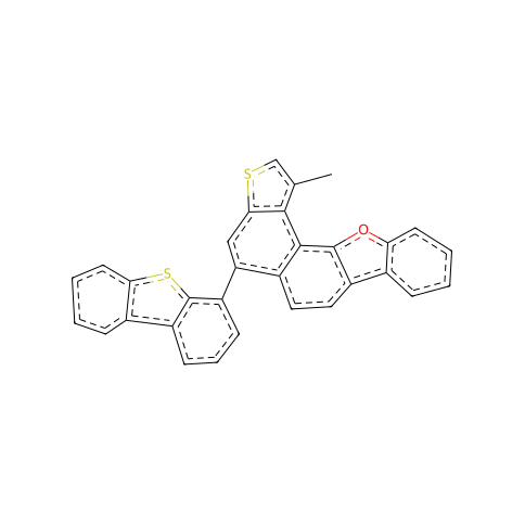 Cc1csc2cc(-c3cccc4c3sc3ccccc34)c3ccc4c5ccccc5oc4c3c12